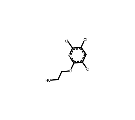 OCCOc1nc(Cl)c(Cl)cc1Cl